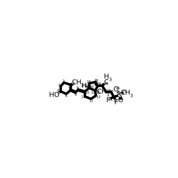 C=C1CCC(O)C/C1=C/C=C1\CCC[C@]2(C)C(C(C)CCC(F)(F)S(C)(=O)=O)=CC[C@@H]12